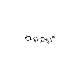 CC[C@H]1CN(c2ccc(-c3ccc(N4C=NOCC4)nc3)c(F)c2)C(=O)O1